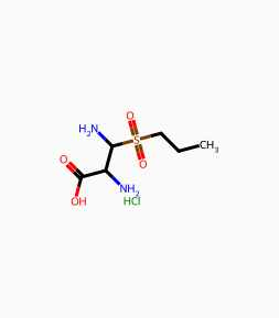 CCCS(=O)(=O)C(N)C(N)C(=O)O.Cl